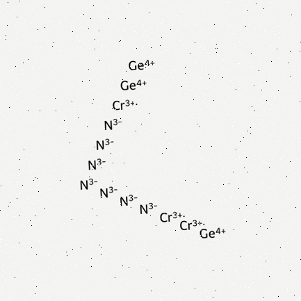 [Cr+3].[Cr+3].[Cr+3].[Ge+4].[Ge+4].[Ge+4].[N-3].[N-3].[N-3].[N-3].[N-3].[N-3].[N-3]